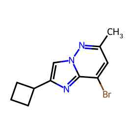 Cc1cc(Br)c2nc(C3CCC3)cn2n1